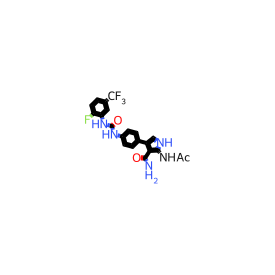 CC(=O)Nc1[nH]cc(-c2ccc(NC(=O)Nc3cc(C(F)(F)F)ccc3F)cc2)c1C(N)=O